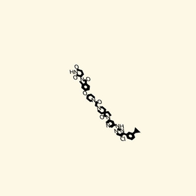 O=C1CCC(N2Cc3cc(OC4CCN(C(=O)CN5CCC6(CC5)CCN(c5cncc(Nc7ncc(Cl)c(-c8cccc(C9CC9)c8)n7)c5)C6=O)CC4)ccc3C2=O)C(=O)N1